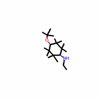 CCN[C@H]1C(C)(C)C(C)(C)[C@@H](OC(C)(C)C)C(C)(C)C1(C)C